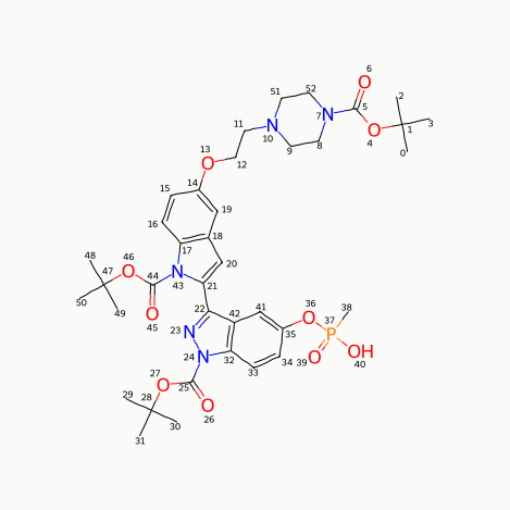 CC(C)(C)OC(=O)N1CCN(CCOc2ccc3c(c2)cc(-c2nn(C(=O)OC(C)(C)C)c4ccc(OP(C)(=O)O)cc24)n3C(=O)OC(C)(C)C)CC1